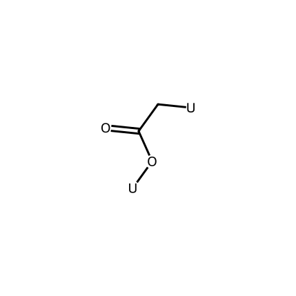 O=C([CH2][U])[O][U]